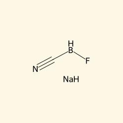 N#CBF.[NaH]